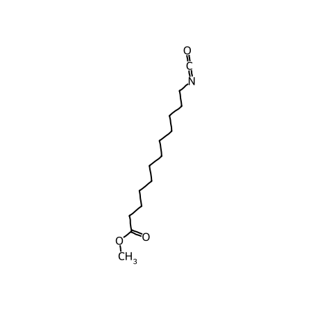 COC(=O)CCCCCCCCCCCN=C=O